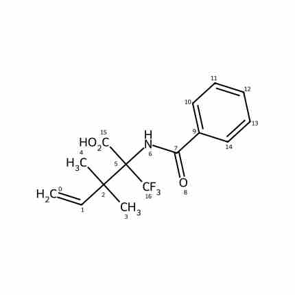 C=CC(C)(C)C(NC(=O)c1ccccc1)(C(=O)O)C(F)(F)F